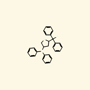 PC(c1ccccc1)(c1ccccc1)C1CC(P(c2ccccc2)c2ccccc2)CN1